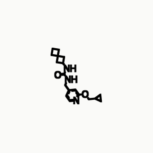 O=C(NCc1ccnc(OCC2CC2)c1)NC1CC2(CCC2)C1